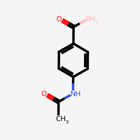 BC(=O)c1ccc(NC(C)=O)cc1